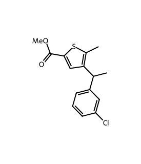 COC(=O)c1cc(C(C)c2cccc(Cl)c2)c(C)s1